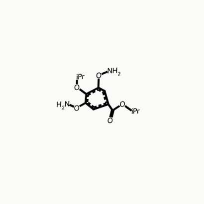 CC(C)OC(=O)c1cc(ON)c(OC(C)C)c(ON)c1